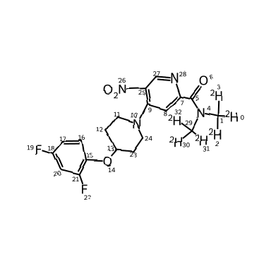 [2H]C([2H])([2H])N(C(=O)c1cc(N2CCC(Oc3ccc(F)cc3F)CC2)c([N+](=O)[O-])cn1)C([2H])([2H])[2H]